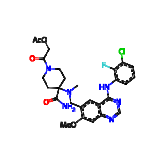 COc1cc2ncnc(Nc3cccc(Cl)c3F)c2cc1CN(C)C1(C(N)=O)CCN(C(=O)COC(C)=O)CC1